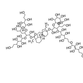 CC1CC23CCC4[C@](C)(C(=O)OC(O)C(OC(O)C(O)C(O)C(O)CCO)C(CC(CO)CO)OC(O)C(O)C(O)C(O)CCO)CCC[C@@]4(C)[C@@H]2CC[C@]1(OC(O)C(OC1OC(CO)C(O)C(O)C1O)C(OC(O)C(O)C(O)C(O)CCOC(O)/C(O)=C(\O)C(O)CCO)C(O)CCO)C3